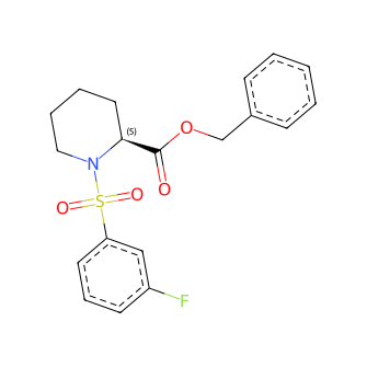 O=C(OCc1ccccc1)[C@@H]1CCCCN1S(=O)(=O)c1cccc(F)c1